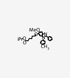 COc1cc2nc(-c3ccccc3)n(-c3ccc(C)cc3)c2cc1OCCCCCC(=O)OC(C)C